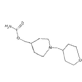 NC(=O)OC1CCN(C2CCOCC2)CC1